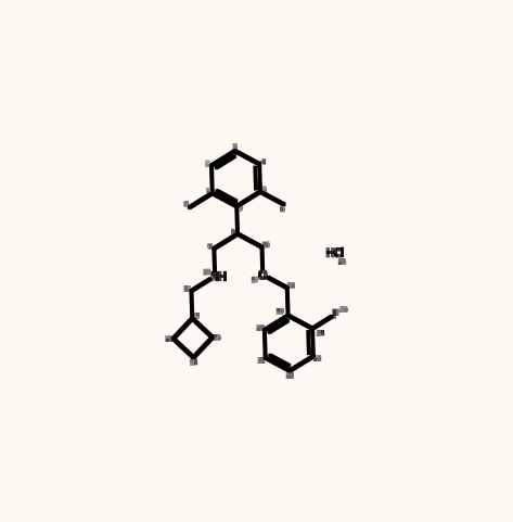 Cc1cccc(C)c1C(CNCC1CCC1)COCc1ccccc1F.Cl